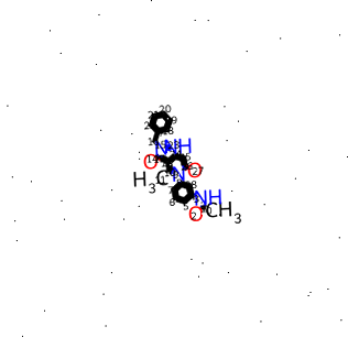 CC(=O)Nc1cccc(-n2c(C)c3c(=O)n(Cc4ccccc4)[nH]c3cc2=O)c1